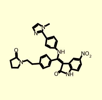 Cn1ccnc1-c1ccc(NC(=C2C(=O)Nc3ccc([N+](=O)[O-])cc32)c2ccc(CCN3CCCC3=O)cc2)cc1